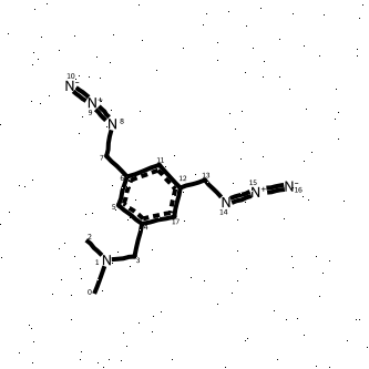 CN(C)Cc1cc(CN=[N+]=[N-])cc(CN=[N+]=[N-])c1